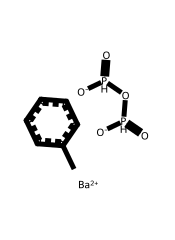 Cc1ccccc1.O=[PH]([O-])O[PH](=O)[O-].[Ba+2]